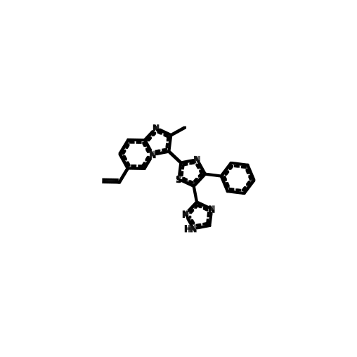 C=Cc1ccc2nc(C)c(-c3nc(-c4ccccc4)c(-c4nc[nH]n4)s3)n2c1